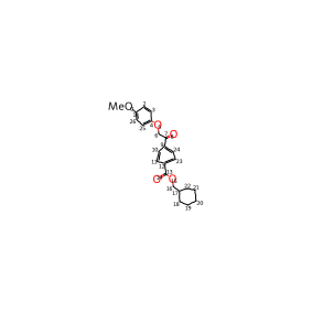 COc1ccc(OCC(=O)c2ccc(C(=O)OCC3CCCCC3)cc2)cc1